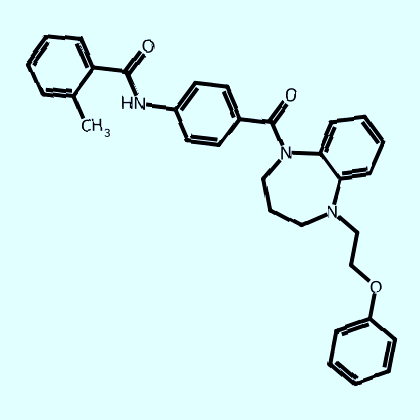 Cc1ccccc1C(=O)Nc1ccc(C(=O)N2CCCN(CCOc3ccccc3)c3ccccc32)cc1